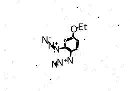 CCOc1ccc(N=[N+]=[N-])c(N=[N+]=[N-])c1